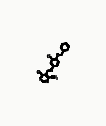 Nc1ncnc(Cl)c1C=Nc1ccc(OCc2ccccc2)c(Cl)c1